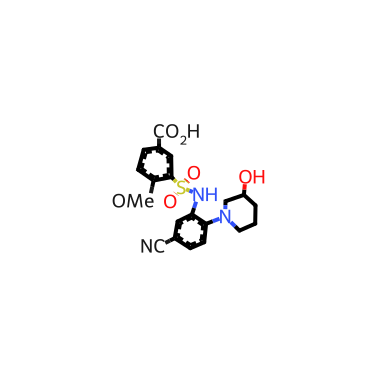 COc1ccc(C(=O)O)cc1S(=O)(=O)Nc1cc(C#N)ccc1N1CCCC(O)C1